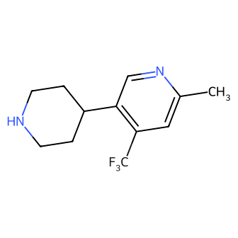 Cc1cc(C(F)(F)F)c(C2CCNCC2)cn1